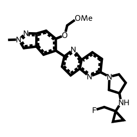 COCOc1cc2nn(C)cc2cc1-c1ccc2nc(N3CCC(NC4(CF)CC4)C3)ccc2n1